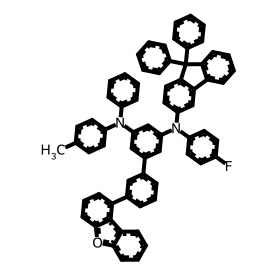 Cc1ccc(N(c2ccccc2)c2cc(-c3cccc(-c4cccc5oc6ccccc6c45)c3)cc(N(c3ccc(F)cc3)c3ccc4c(c3)-c3ccccc3C4(c3ccccc3)c3ccccc3)c2)cc1